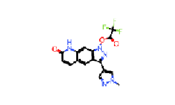 Cn1cc(-c2nn(OC(=O)C(F)(F)F)c3cc4[nH]c(=O)ccc4cc23)cn1